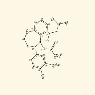 CCN(CC)CCC[C@@]1(OC(=O)C(=O)O)c2ccccc2OCC[C@H]1c1ccc(Cl)c(OC)c1